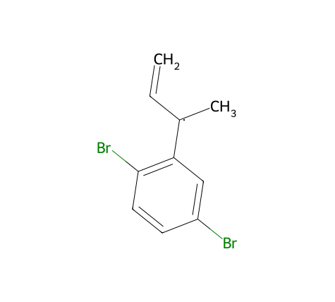 C=C[C](C)c1cc(Br)ccc1Br